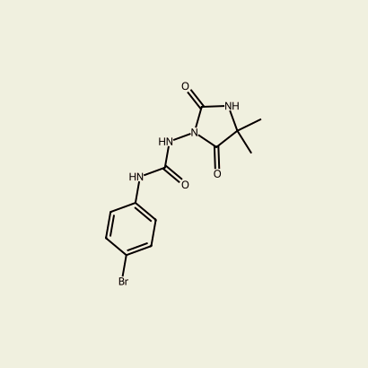 CC1(C)NC(=O)N(NC(=O)Nc2ccc(Br)cc2)C1=O